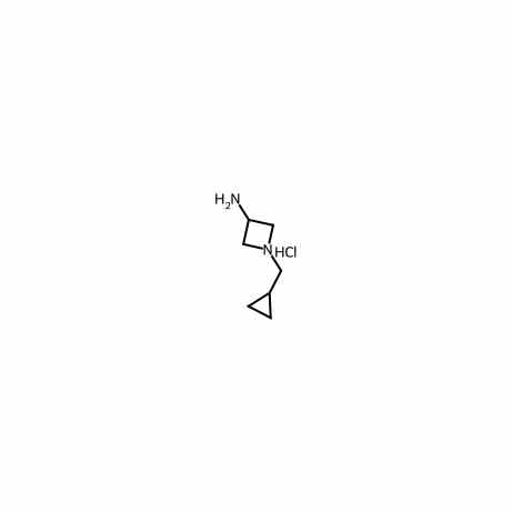 Cl.NC1CN(CC2CC2)C1